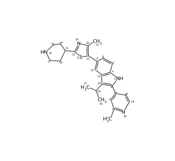 Cc1cc(-c2[nH]c3ccc(-c4sc(C5CCNCC5)nc4C)cc3c2C(C)C)ccn1